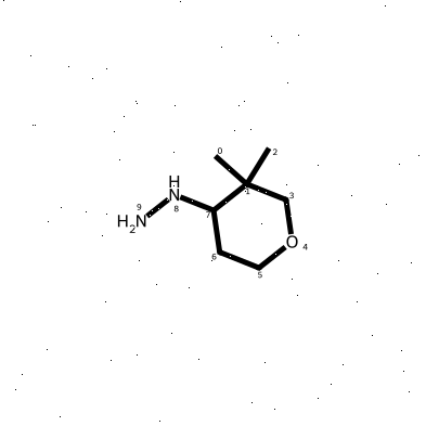 CC1(C)COCCC1NN